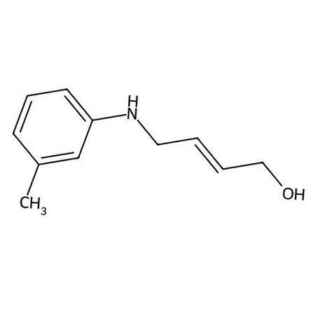 Cc1cccc(NC/C=C/CO)c1